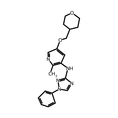 Cc1ncc(OCC2CCOCC2)cc1Nc1ncn(-c2ccccc2)n1